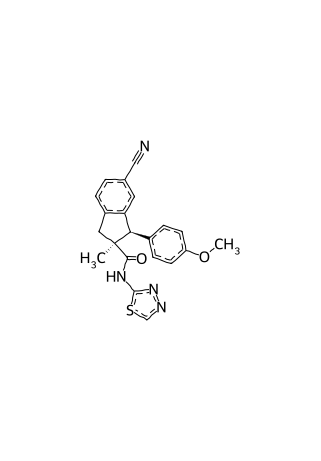 COc1ccc([C@@H]2c3cc(C#N)ccc3C[C@]2(C)C(=O)Nc2nncs2)cc1